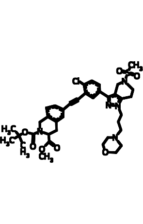 COC(=O)C1Cc2cc(C#Cc3cc(-c4nn(CCCN5CCOCC5)c5c4CN(S(C)(=O)=O)CC5)ccc3Cl)ccc2CN1C(=O)OC(C)(C)C